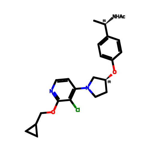 CC(=O)N[C@@H](C)c1ccc(O[C@@H]2CCN(c3ccnc(OCC4CC4)c3Cl)C2)cc1